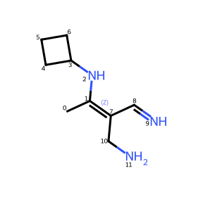 C/C(NC1CCC1)=C(/C=N)CN